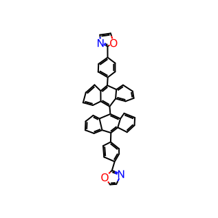 c1ccc2c(-c3c4ccccc4c(-c4ccc(-c5ncco5)cc4)c4ccccc34)c3ccccc3c(-c3ccc(-c4ncco4)cc3)c2c1